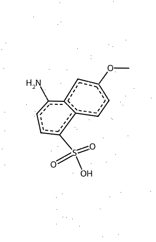 COc1ccc2c(S(=O)(=O)O)ccc(N)c2c1